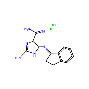 Cl.Cl.N=C(N)C1N=C(N)NC1N=C1CCc2ccccc21